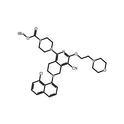 CC(C)(C)OC(=O)N1CCN(c2nc(OCCN3CCOCC3)c(C#N)c3c2CCN(c2cccc4cccc(Cl)c24)C3)CC1